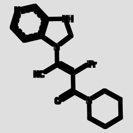 CC(C)/C(C(=O)N1CCCCC1)=C(/C#N)N1CNc2cnccc21